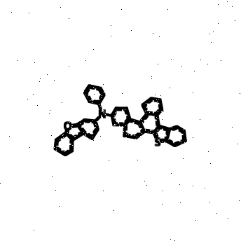 c1ccc(N(c2ccc3c(ccc4c5sc6ccccc6c5c5ccccc5c34)c2)c2ccc3c(c2)oc2ccccc23)cc1